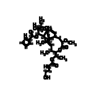 CO[C@H]1CC2C=C[C@]3(C)C[C@]2(O[C@H]3[C@H](OC(=O)c2ccc[nH]2)[C@H](C)[C@H](C)O)/C(C)=C/[C@@H](C)[C@@H]([C@@H](C)OC(=O)NCCO)OC1=O